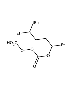 CCC(CCC(CC)C(C)(C)C)OC(=O)OOC(=O)O